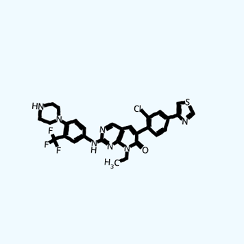 CCn1c(=O)c(-c2ccc(-c3cscn3)cc2Cl)cc2cnc(Nc3ccc(N4CCNCC4)c(C(F)(F)F)c3)nc21